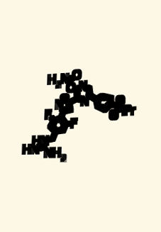 CC(C)S(=O)(=O)c1ccc(-c2cnc(OC(N)=O)c(-c3cc(-c4c(F)cc(CNC(=N)N)cc4F)no3)n2)cc1